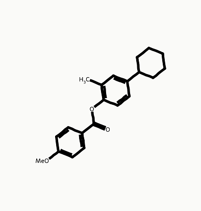 COc1ccc(C(=O)Oc2ccc(C3CCCCC3)cc2C)cc1